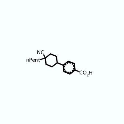 CCCCCC1(C#N)CCC(c2ccc(C(=O)O)cc2)CC1